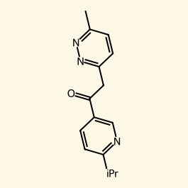 Cc1ccc(CC(=O)c2ccc(C(C)C)nc2)nn1